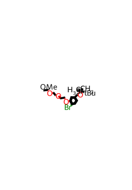 COCCOCCOCCOc1cc(CO[Si](C)(C)C(C)(C)C)ccc1Br